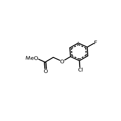 COC(=O)COc1c[c]c(F)cc1Cl